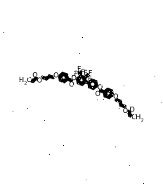 C=CC(=O)OCCCCOc1ccc(C(=O)Oc2ccc(C3CCC(OC(=O)c4ccc(OCCCCOC(=O)C=C)cc4)CC3)c(C(F)(F)F)c2C(F)(F)F)cc1